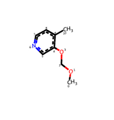 COCOc1cnccc1C